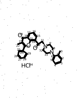 Cc1ccccc1N1CCN(CC(=O)c2cccc3c(=O)c(C)c(-c4ccccc4)oc23)CC1.Cl